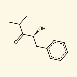 CC(C)C(=O)[C@@H](O)Cc1ccccc1